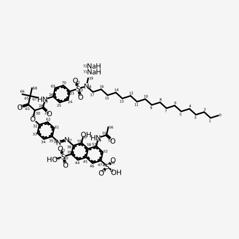 CCCCCCCCCCCCCCCCCCN(C)S(=O)(=O)c1ccc(NC(=O)C(Oc2ccc(/N=N/c3c(S(=O)(=O)O)cc4cc(S(=O)(=O)O)cc(NC(C)=O)c4c3O)cc2)C(=O)C(C)(C)C)cc1.[NaH].[NaH]